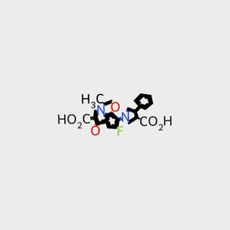 C[C@H]1COc2c(N3CC(c4ccccc4)[C@@H](C(=O)O)C3)c(F)cc3c(=O)c(C(=O)O)cn1c23